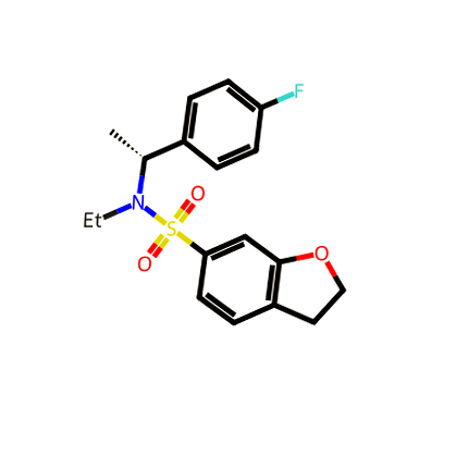 CCN([C@H](C)c1ccc(F)cc1)S(=O)(=O)c1ccc2c(c1)OCC2